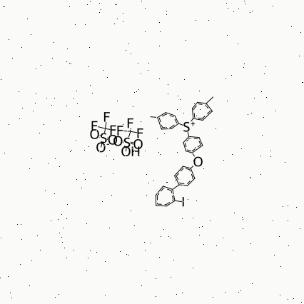 Cc1ccc([S+](c2ccc(C)cc2)c2ccc(Oc3ccc(-c4ccccc4I)cc3)cc2)cc1.O=S(=O)(O)C(F)(F)F.O=S(=O)([O-])C(F)(F)F